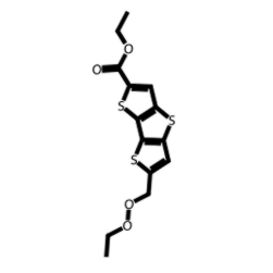 CCOOCc1cc2sc3cc(C(=O)OCC)sc3c2s1